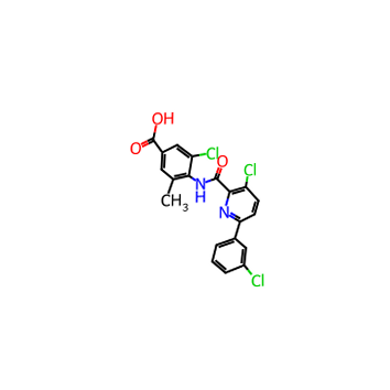 Cc1cc(C(=O)O)cc(Cl)c1NC(=O)c1nc(-c2cccc(Cl)c2)ccc1Cl